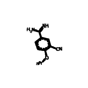 CCCOc1ccc(C(=N)N)cc1C#N